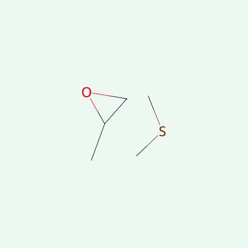 CC1CO1.CSC